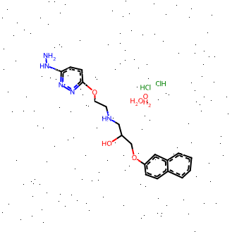 Cl.Cl.NNc1ccc(OCCNCC(O)COc2ccc3ccccc3c2)nn1.O.O